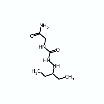 CCC(CC)NNC(=O)NCC(N)=O